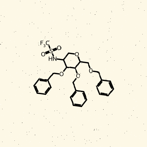 O=S(=O)(NC1COC(COCc2ccccc2)C(OCc2ccccc2)C1OCc1ccccc1)C(F)(F)F